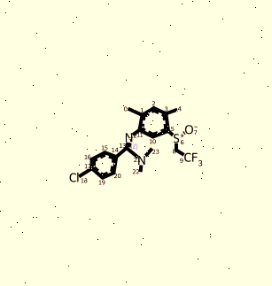 Cc1cc(C)c([S+]([O-])CC(F)(F)F)cc1/N=C(/c1ccc(Cl)cc1)N(C)C